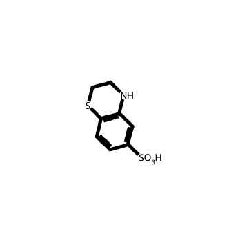 O=S(=O)(O)c1ccc2c(c1)NCCS2